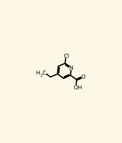 CCc1cc(Cl)nc(C(=O)O)c1